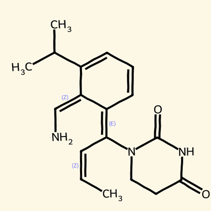 C\C=C/C(=c1/cccc(C(C)C)/c1=C/N)N1CCC(=O)NC1=O